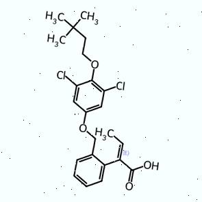 C/C=C(/C(=O)O)c1ccccc1COc1cc(Cl)c(OCCC(C)(C)C)c(Cl)c1